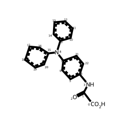 O=C(O)C(=O)Nc1ccc(N(c2ccccc2)c2ccccc2)cc1